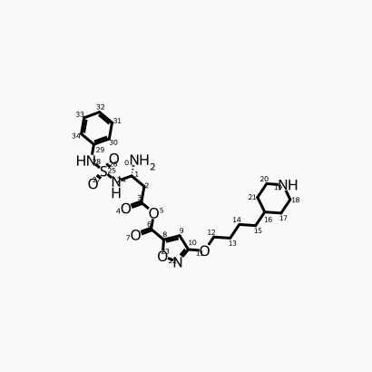 N[C@H](CC(=O)OC(=O)c1cc(OCCCCC2CCNCC2)no1)NS(=O)(=O)Nc1ccccc1